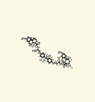 CC(C)c1ccc2c(c1)CCC1C(C)(C(=O)OCC(O)COCc3ccc(C(C)(C)c4ccc(OCC(O)COC(=O)C5(C)CCCC6(C)c7ccc(C(C)C)cc7CCC56)cc4)cc3)CCCC21C